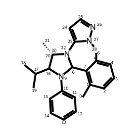 Cc1cccc(C)c1C1N(c2ccccc2)C(C(C)C)[C@H](C)N1c1ccnn1C